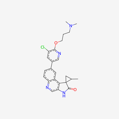 CC1CC12C(=O)Nc1cnc3ccc(-c4cnc(OCCCN(C)C)c(Cl)c4)cc3c12